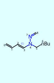 C=C/C=C/N(CCCCC)N=C